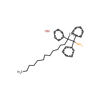 Br.CCCCCCCCCCCCC(C)(c1ccccc1)C(P)(c1ccccc1)c1ccccc1